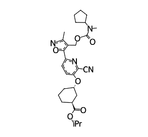 Cc1noc(-c2ccc(O[C@H]3CCC[C@H](C(=O)OC(C)C)C3)c(C#N)n2)c1COC(=O)N(C)C1CCCC1